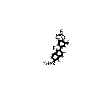 CCCCCCc1ccc2c(F)c(-c3cc(F)c(OC(F)F)c(F)c3)ccc2c1